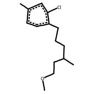 COCCC(C)CCCc1ccc(C)cc1Cl